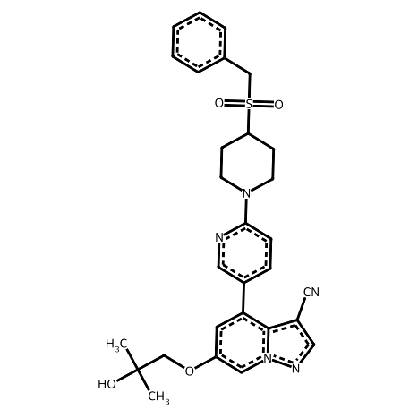 CC(C)(O)COc1cc(-c2ccc(N3CCC(S(=O)(=O)Cc4ccccc4)CC3)nc2)c2c(C#N)cnn2c1